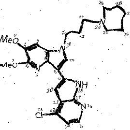 COc1cc2c(nc1OC)c(-c1cc3c(Cl)ccnc3[nH]1)cn2CCCN1CCCCC1